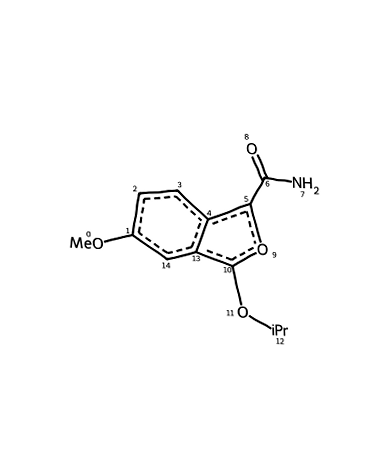 COc1ccc2c(C(N)=O)oc(OC(C)C)c2c1